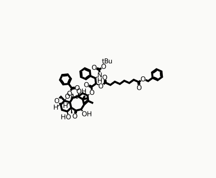 CC(=O)O[C@@]12CO[C@@H]1C[C@H](O)[C@@]1(C)C(=O)[C@H](O)C3=C(C)[C@@H](OC(=O)[C@H](OC(=O)CCCCCCC(=O)OCc4ccccc4)[C@@H](NC(=O)OC(C)(C)C)c4ccccc4)C[C@@](O)([C@@H](OC(=O)c4ccccc4)[C@H]21)C3(C)C